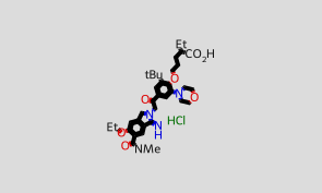 CCOc1cc2c(cc1C(=O)NC)C(=N)N(CC(=O)c1cc(N3CCOCC3)c(OCCCC(CC)C(=O)O)c(C(C)(C)C)c1)C2.Cl